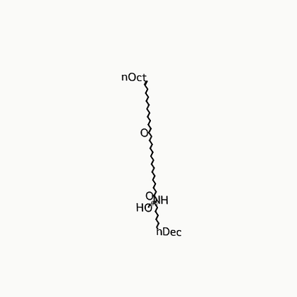 CCCCCCCCC=CCCCCCCCCCCCC(=O)CCCCCCCCCCCCCCCC(=O)N[C@@H](CO)CCCCCCCCCCCCCCCC